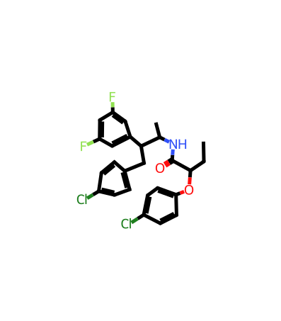 CCC(Oc1ccc(Cl)cc1)C(=O)NC(C)C(Cc1ccc(Cl)cc1)c1cc(F)cc(F)c1